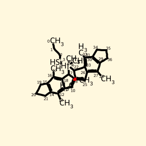 CCC[SiH]=[Hf]([CH3])([CH3])([CH]1C(C)=Cc2c(C)c3c(c(C)c21)CCC3)[CH]1C(C)=Cc2c(C)c3c(c(C)c21)CCC3